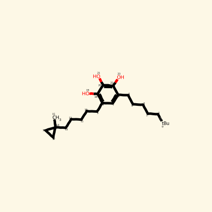 CC(C)(C)CCCCCc1cc(CCCCCC2(C)CC2)c(O)c(O)c1O